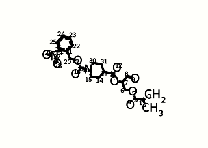 C=C(C)C(=O)OCC(C=O)OC(=O)C1CCN(C(=O)OCc2ccccc2[N+](=O)[O-])CC1